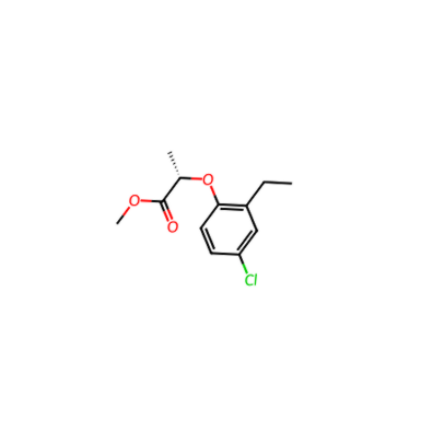 CCc1cc(Cl)ccc1O[C@@H](C)C(=O)OC